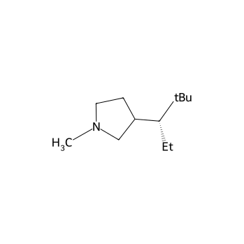 CC[C@H](C1CCN(C)C1)C(C)(C)C